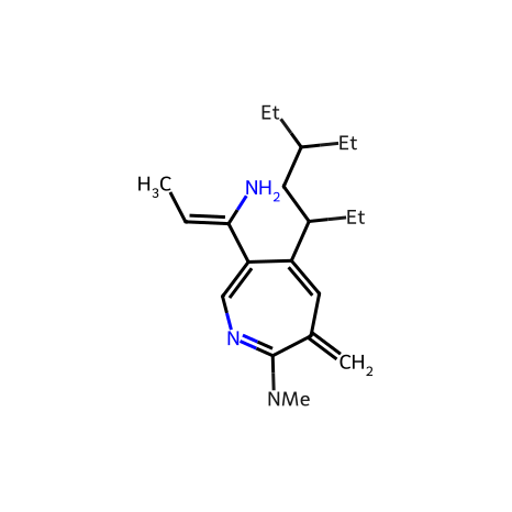 C=C1C=C(C(CC)CC(CC)CC)C(C(N)=CC)=CN=C1NC